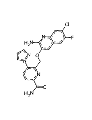 NC(=O)c1ccc(-n2cccn2)c(COc2cc3cc(F)c(Cl)cc3nc2N)n1